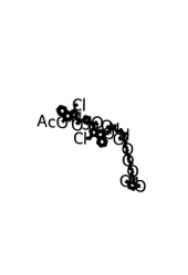 CC(=O)Oc1cc2c(c3ccccc13)[C@H](CCl)CN2C(=O)c1ccc(C(=O)N2CC(CCl)c3c2cc(OC(=O)N(C)CCN(C)C(=O)CCOCCOCCOCCN2C(=O)C=CC2=O)c2ccccc32)s1